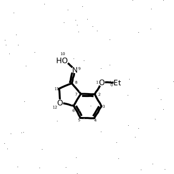 CCOc1cccc2c1C(=NO)CO2